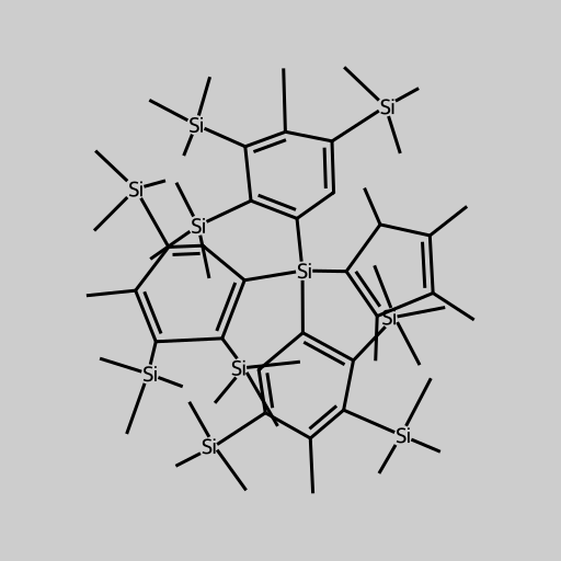 CC1=C(C)C(C)C([Si](c2cc([Si](C)(C)C)c(C)c([Si](C)(C)C)c2[Si](C)(C)C)(c2cc([Si](C)(C)C)c(C)c([Si](C)(C)C)c2[Si](C)(C)C)c2cc([Si](C)(C)C)c(C)c([Si](C)(C)C)c2[Si](C)(C)C)=C1C